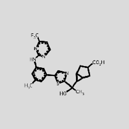 Cc1cc(Nc2nccc(C(F)(F)F)n2)cc(-c2cnc(C(C)(O)C3C4CC(C(=O)O)CC43)s2)c1